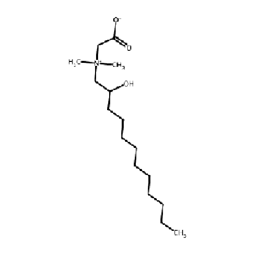 CCCCCCCCCCC(O)C[N+](C)(C)CC(=O)[O-]